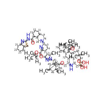 Cc1c(-c2ccc(N3CCc4cccc(C(=O)Nc5nc6ccccc6s5)c4C3)nc2C(=O)OC(C)(C)C)cnn1CC12CC3(C)CC(C)(C1)CC(OCCNCCS(O)(O)OCC(C)(C)CCO[Si](c1ccccc1)(c1ccccc1)C(C)(C)C)(C3)C2